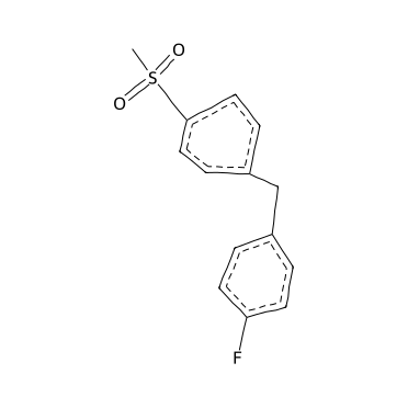 CS(=O)(=O)c1ccc(Cc2ccc(F)cc2)cc1